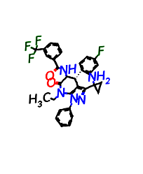 CCN1C(=O)[C@@H](NC(=O)c2cccc(C(F)(F)F)c2)[C@H](c2ccc(F)cc2)c2c(C3(N)CC3)nn(-c3ccccc3)c21